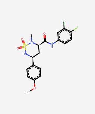 CN1[C@@H](C(=O)Nc2ccc(F)c(Cl)c2)C[C@@H](c2ccc(OC(F)(F)F)cc2)NS1(=O)=O